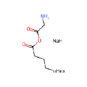 CCCCCCCCCC(=O)OC(=O)CN.[NaH]